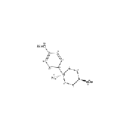 CCCC[C@H]1CC[C@@](C#N)(c2ccc(OC)cc2)CC1